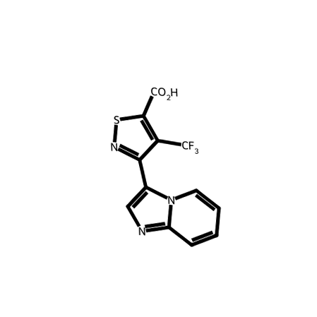 O=C(O)c1snc(-c2cnc3ccccn23)c1C(F)(F)F